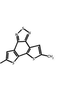 CCc1cc2c3nsnc3c3cc(C)sc3c2s1